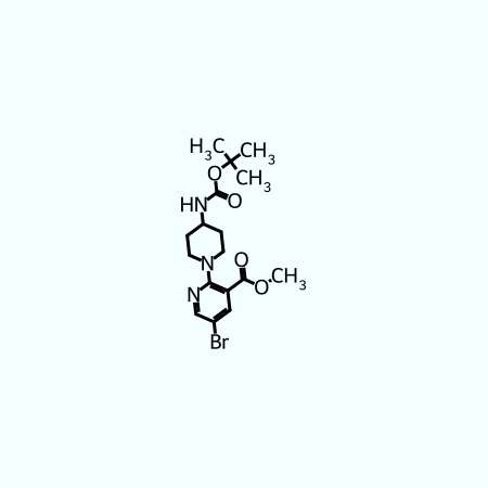 COC(=O)c1cc(Br)cnc1N1CCC(NC(=O)OC(C)(C)C)CC1